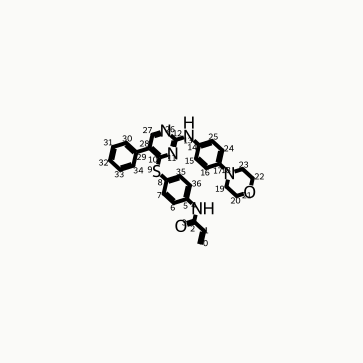 C=CC(=O)Nc1ccc(Sc2nc(Nc3ccc(N4CCOCC4)cc3)ncc2-c2ccccc2)cc1